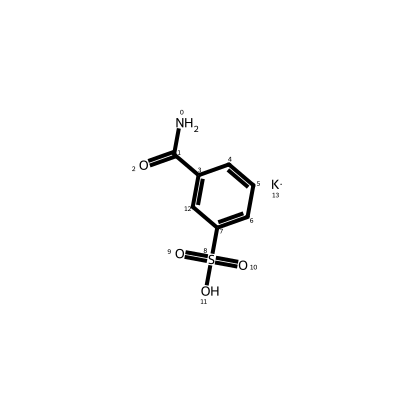 NC(=O)c1cccc(S(=O)(=O)O)c1.[K]